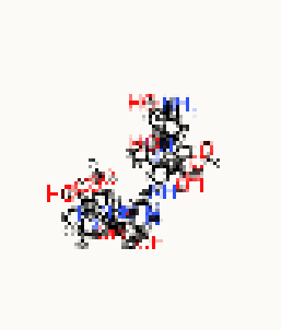 CC(=O)O[C@H]1C[C@@]2(C)[C@@H](C[C@@H](O)[C@H]3[C@@]4(C)CC[C@@H](O)[C@@H](N)[C@@H]4CC[C@@]32CN)/C1=C(/C(=O)O)C1CC(=C2CCCC2)CC(NCC2=C/N[C@@]34CC[C@@]5(N)[C@@H]([C@H](O)C[C@H]6/C(=C(/C(=O)O)C7CCCC(=C(C)C)C7)[C@@H](OC(C)=O)C[C@@]65C)[C@@]3(C)CC[C@@H](O)C4(C)C/N=N\2)C1